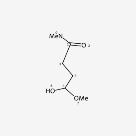 CNC(=O)CCC(O)OC